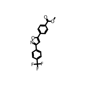 COC(=O)c1ccc(-c2cc(-c3ccc(C(F)(F)F)cc3)no2)cc1